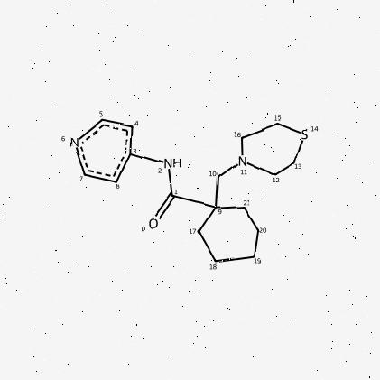 O=C(Nc1ccncc1)C1(CN2CCSCC2)CCCCC1